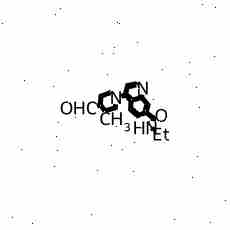 CCNC(=O)c1ccc2c(N3CCC(C=O)C(C)C3)ccnc2c1